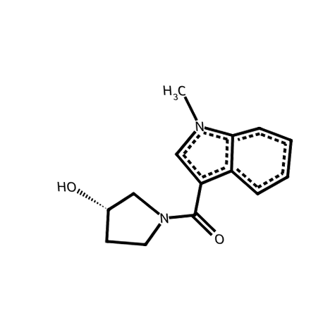 Cn1cc(C(=O)N2CC[C@H](O)C2)c2ccccc21